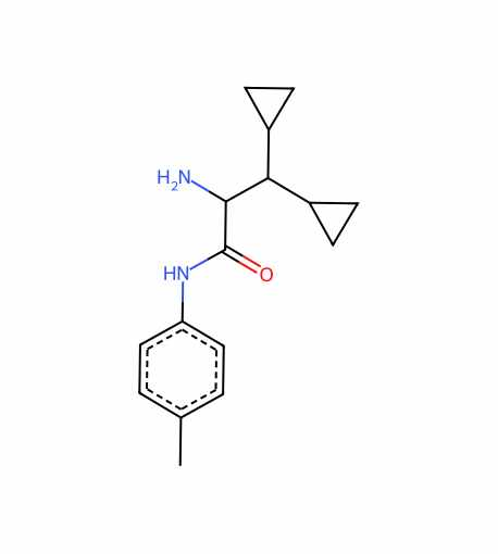 Cc1ccc(NC(=O)C(N)C(C2CC2)C2CC2)cc1